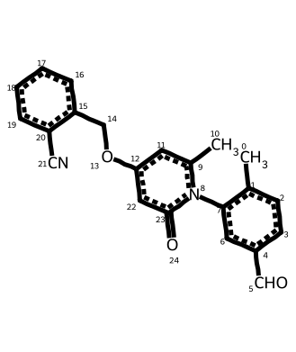 Cc1ccc(C=O)cc1-n1c(C)cc(OCc2ccccc2C#N)cc1=O